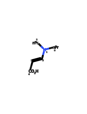 CCCN(C=CC(=O)O)CCC